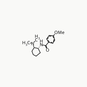 COc1ccc(C(=O)N[C@@H]2CCCC[C@H]2N(C)C)cc1